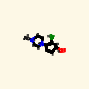 CC(=O)N1CCN(c2ccc(O)cc2Br)CC1